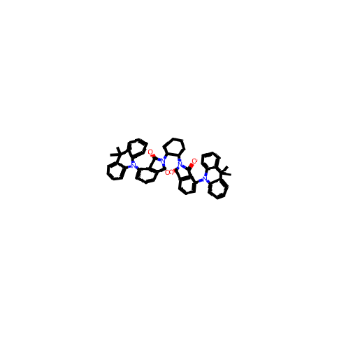 CC1(C)c2ccccc2N(c2cccc3c2C(=O)N(C2CCCCC2N2C(=O)c4cccc(N5c6ccccc6C(C)(C)c6ccccc65)c4C2=O)C3=O)c2ccccc21